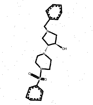 O=S(=O)(c1ccccc1)N1CCN([C@@H]2CN(Cc3ccccc3)C[C@H]2O)CC1